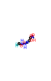 CCn1c(=O)oc2ccc(C3(O)CCC(N4CC(NC(=O)CNC(=O)c5cccc(C(F)(F)F)c5)C4)CC3)cc21